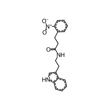 O=C(CCc1ccccc1[N+](=O)[O-])NCCc1c[nH]c2ccccc12